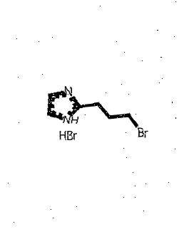 Br.BrCCCc1ncc[nH]1